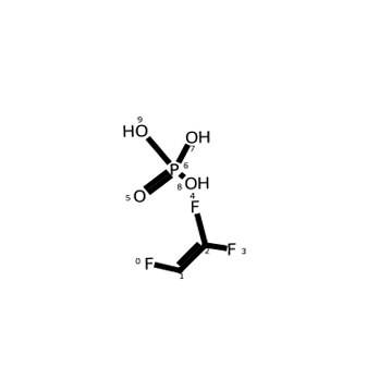 FC=C(F)F.O=P(O)(O)O